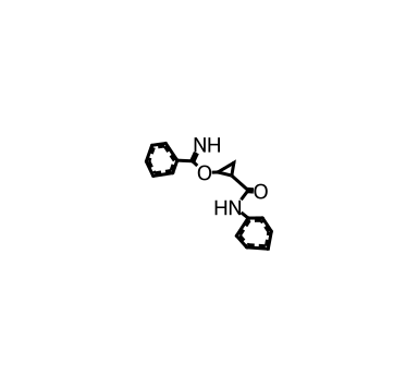 N=C(OC1CC1C(=O)Nc1ccccc1)c1ccccc1